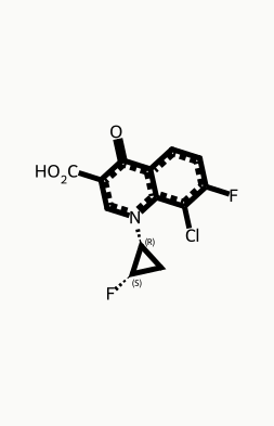 O=C(O)c1cn([C@@H]2C[C@@H]2F)c2c(Cl)c(F)ccc2c1=O